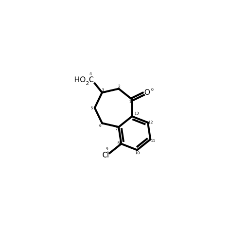 O=C1CC(C(=O)O)CCc2c(Cl)cccc21